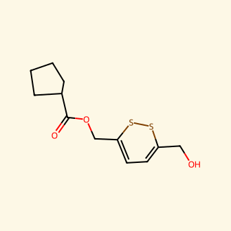 O=C(OCC1=CC=C(CO)SS1)C1CCCC1